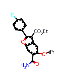 CCOC(=O)c1c(-c2ccc(F)cc2)oc2cc(C(N)=O)c(OC(C)C)cc12